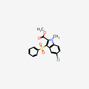 COC(=O)c1c(S(=O)(=O)c2ccccc2)c2cc(Cl)ccc2n1C